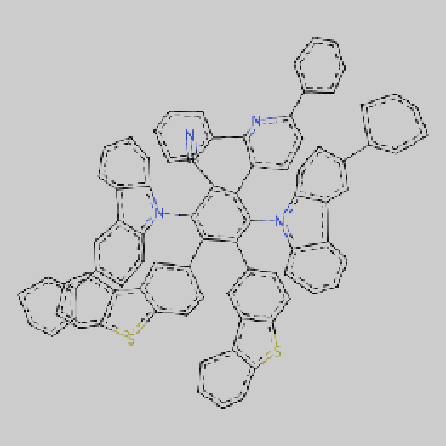 N#Cc1c(-c2ccc(-c3ccccc3)nc2-c2ccccc2)c(-n2c3ccccc3c3cc(-c4ccccc4)ccc32)c(-c2ccc3sc4ccccc4c3c2)c(-c2ccc3sc4ccccc4c3c2)c1-n1c2ccccc2c2cc(-c3ccccc3)ccc21